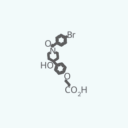 O=C(O)CCOc1ccc(C2(O)CCN(C(=O)c3ccc(Br)cc3)CC2)cc1